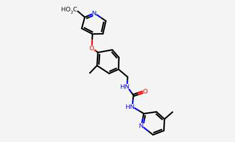 Cc1ccnc(NC(=O)NCc2ccc(Oc3ccnc(C(=O)O)c3)c(C)c2)c1